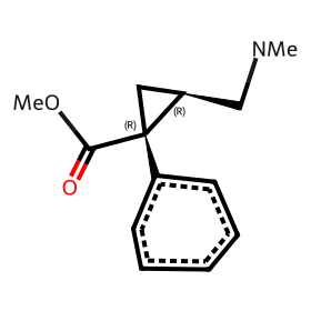 CNC[C@@H]1C[C@]1(C(=O)OC)c1ccccc1